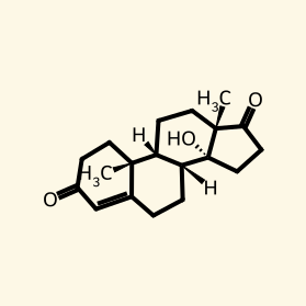 C[C@]12CCC(=O)C=C1CC[C@@H]1[C@H]2CC[C@]2(C)C(=O)CC[C@@]12O